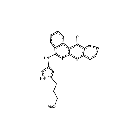 COCCCc1cc(Nc2nc3nc4ccccc4c(=O)n3c3ccccc23)n[nH]1